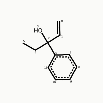 C=CC(O)([CH]C)c1ccccc1